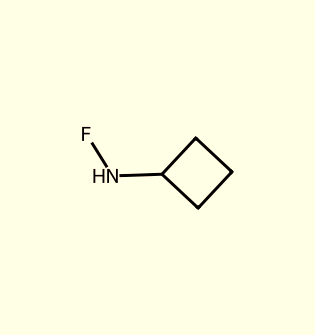 FNC1CCC1